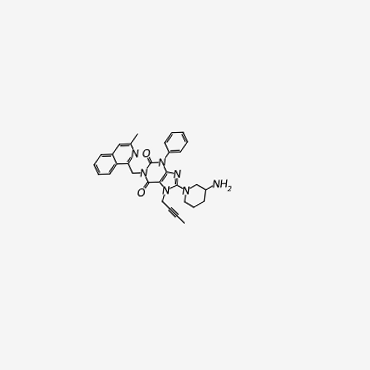 CC#CCn1c(N2CCCC(N)C2)nc2c1c(=O)n(Cc1nc(C)cc3ccccc13)c(=O)n2-c1ccccc1